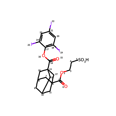 O=C(OCCS(=O)(=O)O)C12CC3CC(C1)CC(C(=O)Oc1c(I)cc(I)cc1I)(C3)C2